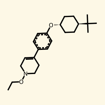 CCON1CC=C(c2ccc(O[C@H]3CC[C@H](C(C)(C)C)CC3)cc2)CC1